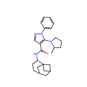 CC1CCCN1c1c(C(=O)NC2CCC3CC4CC2(C3)C4)cnn1-c1ccccc1